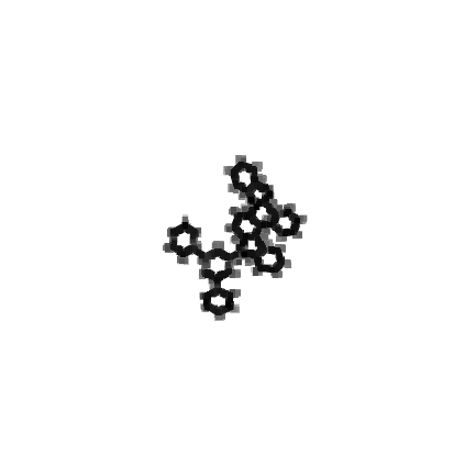 c1ccc(-c2cc(-c3ccccc3)cc(-n3c4ccccc4c4c5c6ccccc6c6nc7ccccc7n6c5ccc43)c2)cc1